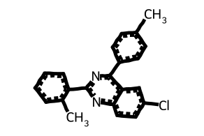 Cc1ccc(-c2nc(-c3ccccc3C)nc3ccc(Cl)cc23)cc1